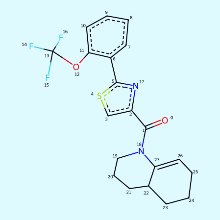 O=C(c1csc(-c2ccccc2OC(F)(F)F)n1)N1CCCC2CCCC=C21